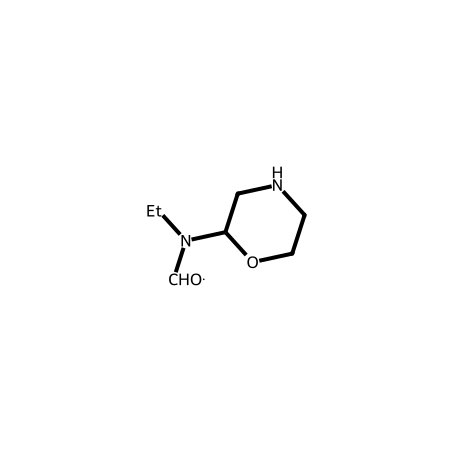 CCN([C]=O)C1CNCCO1